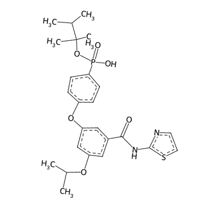 CC(C)Oc1cc(Oc2ccc(P(=O)(O)OC(C)(C)C(C)C)cc2)cc(C(=O)Nc2nccs2)c1